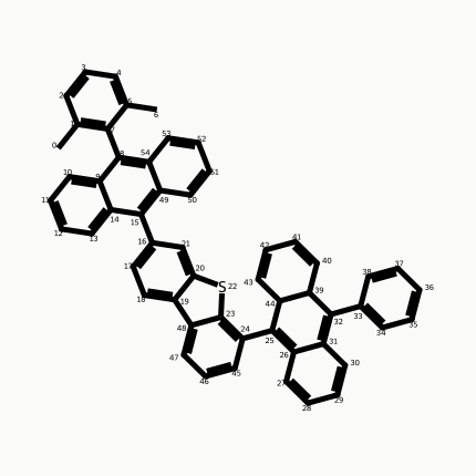 Cc1cccc(C)c1-c1c2ccccc2c(-c2ccc3c(c2)sc2c(C4=c5ccccc5=C(c5ccccc5)C5C=CC=CC45)cccc23)c2ccccc12